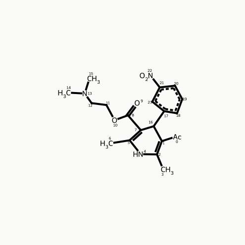 CC(=O)C1=C(C)NC(C)=C(C(=O)OCCN(C)C)C1c1cccc([N+](=O)[O-])c1